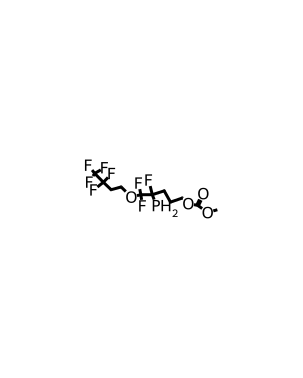 COC(=O)OCCCC(F)(P)C(F)(F)OCCC(F)(F)C(F)(F)F